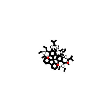 C=C(C)C(=O)Oc1c(OCC)c(OCC)c(C2(c3c(OCC)c(OCC)c(OC(=O)C(=C)C)c(C(CC)OCC)c3OCC)c3ccccc3-c3ccccc32)c(OCC)c1C(CC)OCC